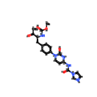 COC(=O)[C@H](Cc1ccc(-n2ccc(NC(=O)n3ccnc3)nc2=O)cc1)NC(=O)OC(C)(C)C